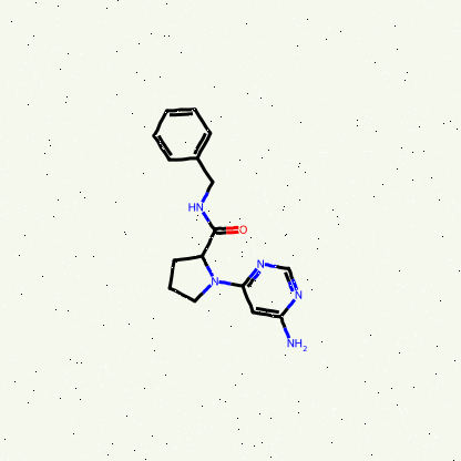 Nc1cc(N2CCCC2C(=O)NCc2ccccc2)ncn1